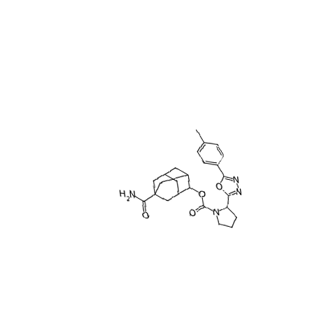 Cc1ccc(-c2nnc(C3CCCN3C(=O)OC3C4CC5CC3CC(C(N)=O)(C5)C4)o2)cc1